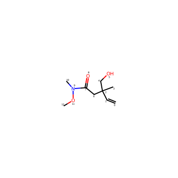 C=CC(C)(CO)CC(=O)N(C)OC